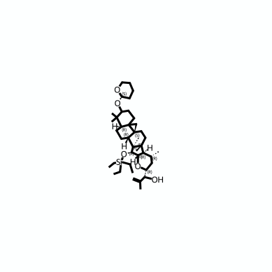 C=C(C)C(O)[C@H]1C[C@@H](C)[C@H]2[C@H](O1)[C@H](O[Si](CC)(CC)CC)[C@@]1(C)[C@@H]3CC[C@H]4C(C)(C)C(O[C@H]5CCCCO5)CCC45C[C@@]35CC[C@]21C